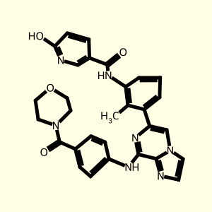 Cc1c(NC(=O)c2ccc(O)nc2)cccc1-c1cn2ccnc2c(Nc2ccc(C(=O)N3CCOCC3)cc2)n1